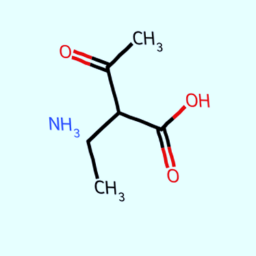 CCC(C(C)=O)C(=O)O.N